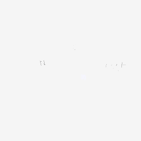 O=C(O)/C(Cl)=C/c1ccccn1